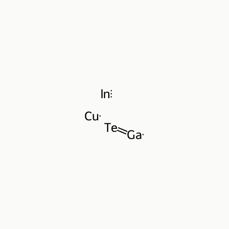 [Cu].[Ga]=[Te].[In]